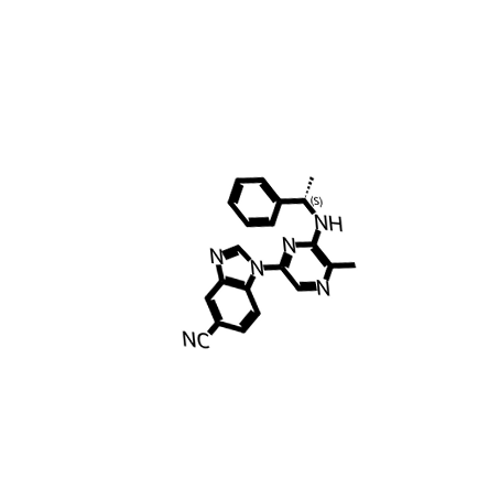 Cc1ncc(-n2cnc3cc(C#N)ccc32)nc1N[C@@H](C)c1ccccc1